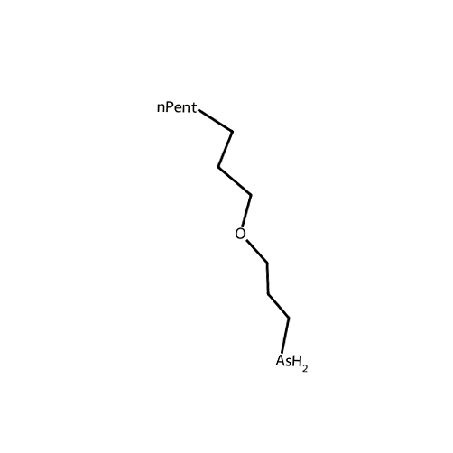 CCCCCCCCOCCC[AsH2]